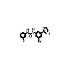 O=C(Nc1cccc(F)c1)Nc1cc(Br)cc(C2=NCCN2)c1